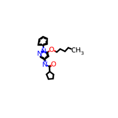 CCCCCOc1c/c(=N\C(=O)C2CCCC2)cnn1-c1ccccc1